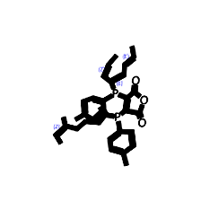 C=C(CCC/C(C)=C\C)P(C1=C(P(C(/C=C\C)=C/C=C/C)c2ccc(C)cc2)C(=O)OC1=O)c1ccc(C)cc1